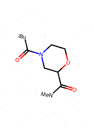 CCC(C)C(=O)N1CCOC(C(=O)NC)C1